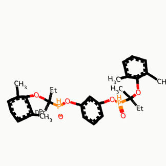 CCCC(CC)(Oc1c(C)cccc1C)[PH](=O)Oc1cccc(O[PH](=O)C(C)(CC)Oc2c(C)cccc2C)c1